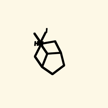 CN1CC2CCC(C1)C2NI